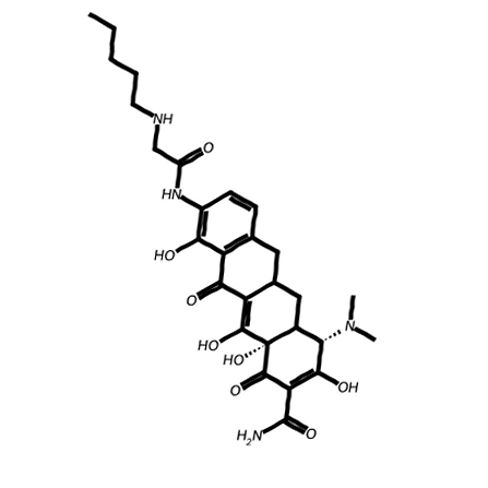 CCCCCNCC(=O)Nc1ccc2c(c1O)C(=O)C1=C(O)[C@]3(O)C(=O)C(C(N)=O)=C(O)[C@@H](N(C)C)C3CC1C2